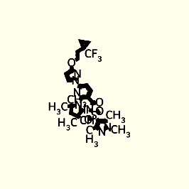 Cc1nn(C)c(C)c1S(=O)(=O)NC(=O)c1ccc(-n2ccc(OCCC3(C(F)(F)F)CC3)n2)nc1N1CC(C)(C)CC1(C)C